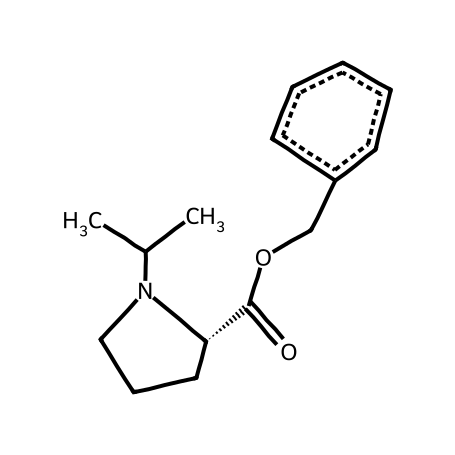 CC(C)N1CCC[C@H]1C(=O)OCc1ccccc1